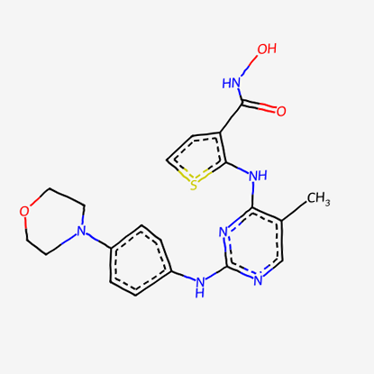 Cc1cnc(Nc2ccc(N3CCOCC3)cc2)nc1Nc1sccc1C(=O)NO